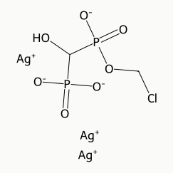 O=P([O-])([O-])C(O)P(=O)([O-])OCCl.[Ag+].[Ag+].[Ag+]